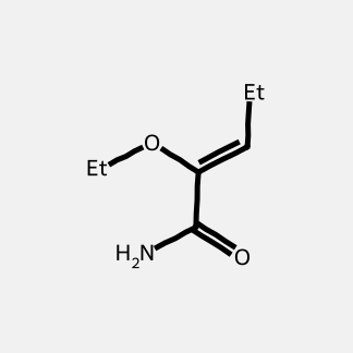 CCC=C(OCC)C(N)=O